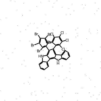 Clc1c(Cl)c(Cl)c(-c2c(-c3c(Br)c(Br)c(Br)c(Br)c3Br)c3[nH]c4ccccc4c3c3[nH]c4ccccc4c23)c(Cl)c1Cl